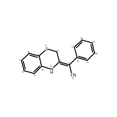 N#C/C(=C1/CSc2ccccc2N1)c1ccccc1